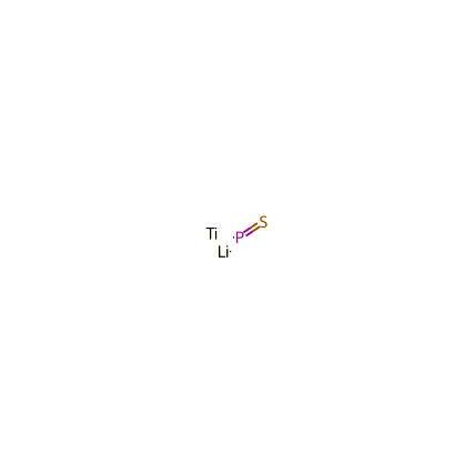 [Li].[P]=S.[Ti]